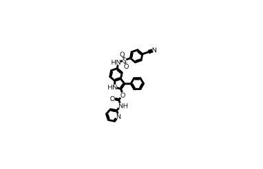 N#Cc1ccc(S(=O)(=O)Nc2ccc3[nH]c(OC(=O)Nc4ccccn4)c(-c4ccccc4)c3c2)cc1